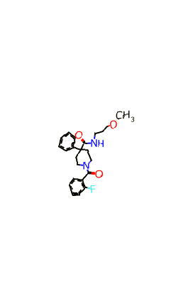 COCCCNC(=O)C1(c2ccccc2)CCN(C(=O)c2ccccc2F)CC1